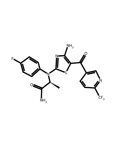 C[C@@H](C(N)=O)N(c1ccc(F)cc1)c1nc(N)c(C(=O)c2ccc(C(F)(F)F)nc2)s1